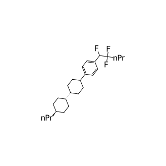 CCCC(F)(F)C(F)c1ccc(C2CCC([C@H]3CC[C@H](CCC)CC3)CC2)cc1